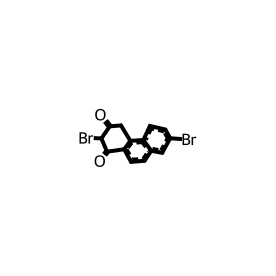 O=C1Cc2c(ccc3cc(Br)ccc23)C(=O)C1Br